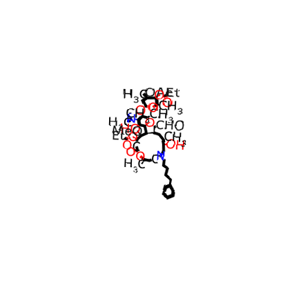 CCC(=O)O[C@@H]1CC(=O)O[C@H](C)CCN(CCCCCc2ccccc2)C[C@H](O)[C@H](C)C[C@H](CC=O)[C@H]([C@@H]2O[C@H](C)[C@@H](O[C@@H]3C[C@@](C)(OC(C)=O)[C@@H](OC(=O)CC)[C@H](C)O3)[C@H](N(C)C)[C@H]2O)[C@@H]1OC